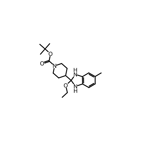 CCOC1(C2CCN(C(=O)OC(C)(C)C)CC2)Nc2ccc(C)cc2N1